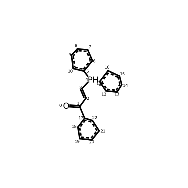 O=C(C=C[PH2](c1ccccc1)c1ccccc1)c1ccccc1